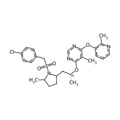 Cc1ncccc1Oc1ncnc(O[C@H](C)CC2CCC(C)N2S(=O)(=O)Cc2ccc(Cl)cc2)c1C